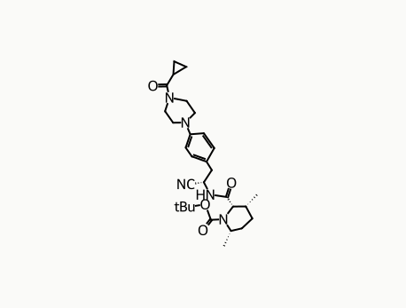 C[C@@H]1CC[C@H](C)N(C(=O)OC(C)(C)C)[C@@H]1C(=O)N[C@H](C#N)Cc1ccc(N2CCN(C(=O)C3CC3)CC2)cc1